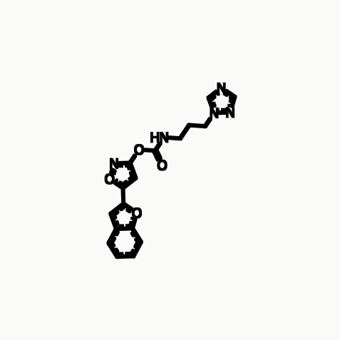 O=C(NCCCn1cncn1)Oc1cc(-c2cc3ccccc3o2)on1